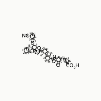 Cc1c(COc2cc(OCc3cncc(C#N)c3)c(CN3CCCC[C@H]3C(=O)O)cc2Cl)cccc1-c1cccc(-c2nc3cc(CN4CC[C@@H](C(=O)O)C4)cc(Cl)c3o2)c1C